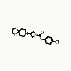 O=C(Nc1ccc(Cl)cc1)N1CC(N2CCC3(CC2)OCCO3)C1